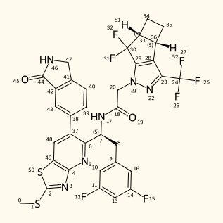 CSc1nc2nc([C@H](Cc3cc(F)cc(F)c3)NC(=O)Cn3nc(C(F)(F)F)c4c3C(F)(F)[C@@H]3CC[C@H]43)c(-c3ccc4c(c3)C(=O)NC4)cc2s1